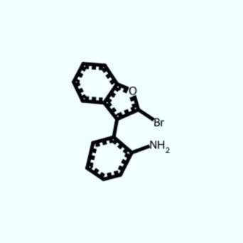 Nc1ccccc1-c1c(Br)oc2ccccc12